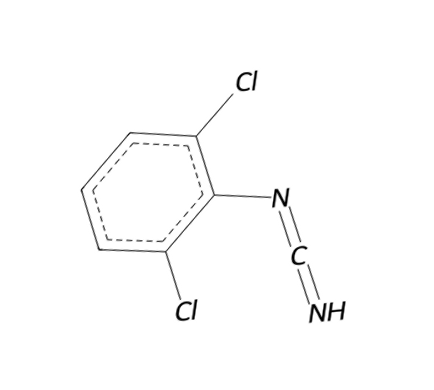 N=C=Nc1c(Cl)cccc1Cl